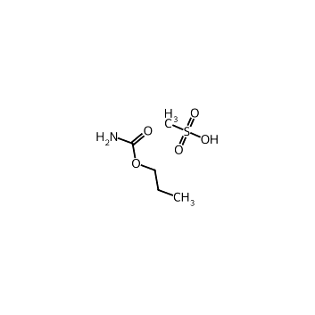 CCCOC(N)=O.CS(=O)(=O)O